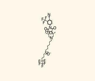 C[C@]12CN(CCCCCC[S+]([O-])CCCC(F)(F)C(F)(F)F)C[C@](C)(O1)C1C(=O)N(c3ccc(C#N)c(C(F)(F)F)c3)C(=O)[C@H]12